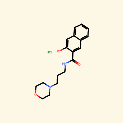 Cl.O=C(NCCCN1CCOCC1)c1cc2ccccc2cc1O